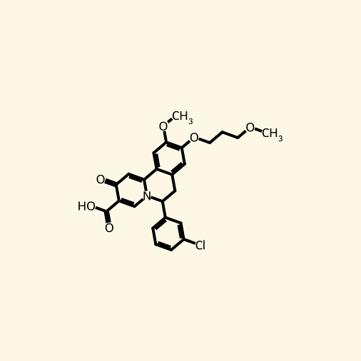 COCCCOc1cc2c(cc1OC)-c1cc(=O)c(C(=O)O)cn1C(c1cccc(Cl)c1)C2